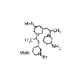 CNC1CC(CC(C)N2CCC[C@H](N)C2)CN(C(C)CC2C[C@@H](NC)CN(C(C)C)C2)C1